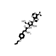 CCCOc1ccc(C[C@H](N)C(=O)NC2[C@@H](CO)O[C@@H](n3cnc4c(N(C)C)ncnc43)[C@H]2O)cc1